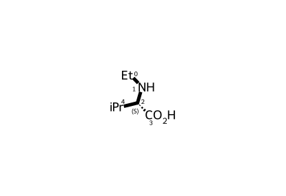 CCN[C@H](C(=O)O)C(C)C